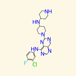 Fc1ccc(Nc2ncnc3cnc(N4CCC(NC5CCNCC5)CC4)nc23)cc1Cl